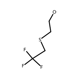 [O]CCSCC(F)(F)F